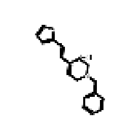 C1=C(/C=C/c2cccs2)CCN(Cc2ccccc2)C1.Cl